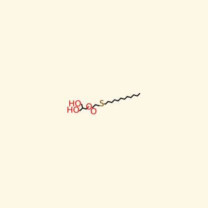 CCCCCCCCCCCCSCCC(=O)OCC(CO)CO